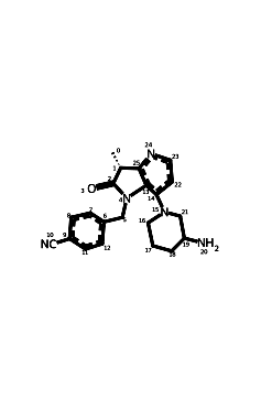 C[C@H]1C(=O)N(Cc2ccc(C#N)cc2)c2c(N3CCCC(N)C3)ccnc21